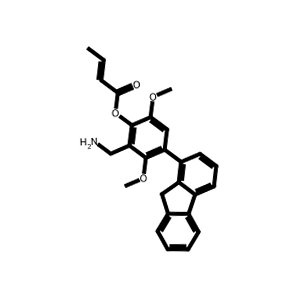 CC=CC(=O)Oc1c(OC)cc(-c2cccc3c2Cc2ccccc2-3)c(OC)c1CN